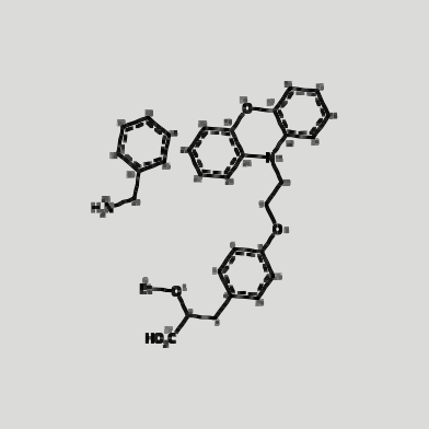 CCOC(Cc1ccc(OCCN2c3ccccc3Oc3ccccc32)cc1)C(=O)O.NCc1ccccc1